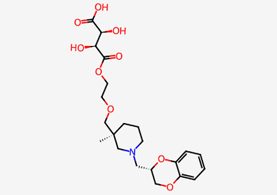 C[C@]1(COCCOC(=O)[C@@H](O)[C@H](O)C(=O)O)CCCN(C[C@H]2COc3ccccc3O2)C1